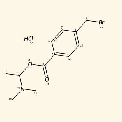 CC(OC(=O)c1ccc(CBr)cc1)N(C)C.Cl